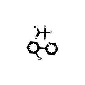 O=C(O)C(F)(F)F.Oc1ccccc1-c1ccccn1